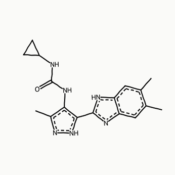 Cc1cc2nc(-c3[nH]nc(C)c3NC(=O)NC3CC3)[nH]c2cc1C